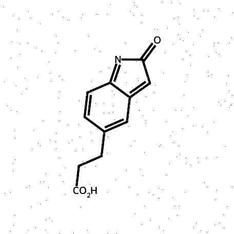 O=C(O)CCc1ccc2c(c1)=CC(=O)N=2